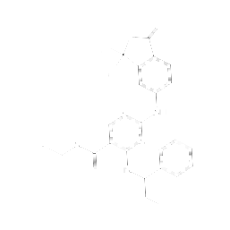 CC(C)CNC(=O)c1cnc(Nc2ccc3c(c2)C(C)(C)OC3=O)nc1NC(CO)c1ccccc1